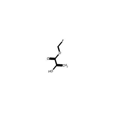 C=C(O)C(=O)OCF